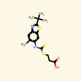 Cc1cc2nc(C(C)(C)C)sc2cc1NC(=S)SCCC(=O)O